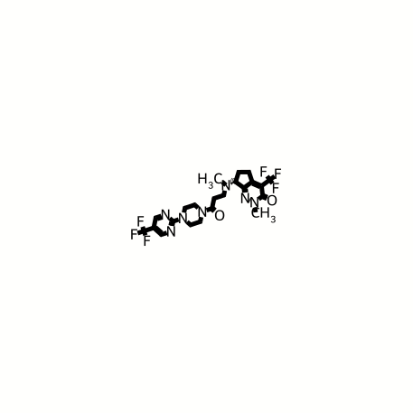 CN(CCC(=O)N1CCN(c2ncc(C(F)(F)F)cn2)CC1)[C@@H]1CCc2c1nn(C)c(=O)c2C(F)(F)F